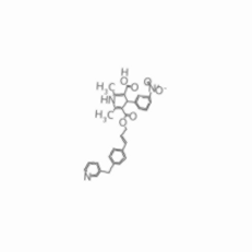 CC1=C(C(=O)O)C(c2cccc([N+](=O)[O-])c2)C(C(=O)OCC=Cc2ccc(Cc3cccnc3)cc2)=C(C)N1